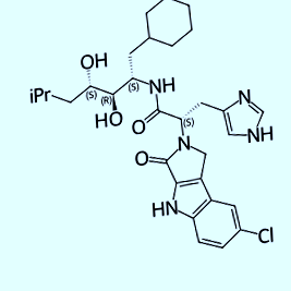 CC(C)C[C@H](O)[C@H](O)[C@H](CC1CCCCC1)NC(=O)[C@H](Cc1c[nH]cn1)N1Cc2c([nH]c3ccc(Cl)cc23)C1=O